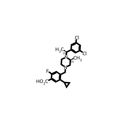 C[C@H]1CN(Cc2cc(F)c(C(=O)O)cc2C2CC2)CCN1[C@@H](C)c1cc(Cl)cc(Cl)c1